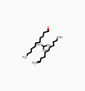 C=CCCCCCCCCC=O.CCCCCCCCC(C)C=O.CCCCCCCCCCC=O